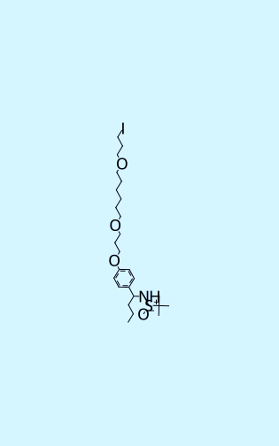 CCCC(N[S+]([O-])C(C)(C)C)c1ccc(OCCCOCCCCCCOCCCI)cc1